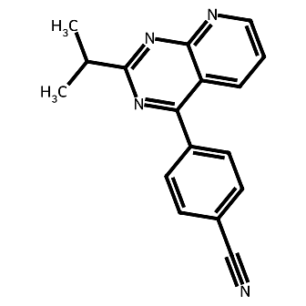 CC(C)c1nc(-c2ccc(C#N)cc2)c2cccnc2n1